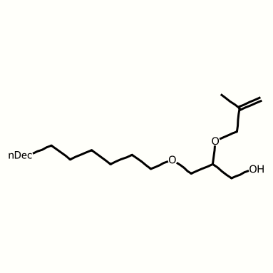 C=C(C)COC(CO)COCCCCCCCCCCCCCCCC